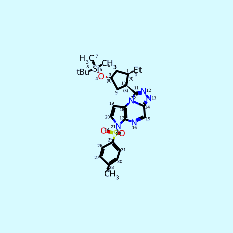 CC[C@@H]1C[C@@H](O[Si](C)(C)C(C)(C)C)C[C@@H]1c1nnc2cnc3c(ccn3S(=O)(=O)c3ccc(C)cc3)n12